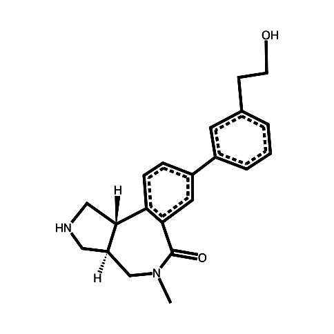 CN1C[C@H]2CNC[C@@H]2c2ccc(-c3cccc(CCO)c3)cc2C1=O